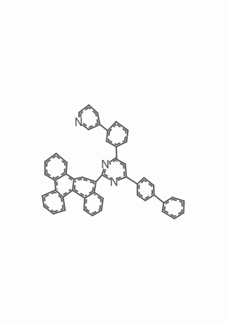 c1ccc(-c2ccc(-c3cc(-c4cccc(-c5cccnc5)c4)nc(-c4cc5c6ccccc6c6ccccc6c5c5ccccc45)n3)cc2)cc1